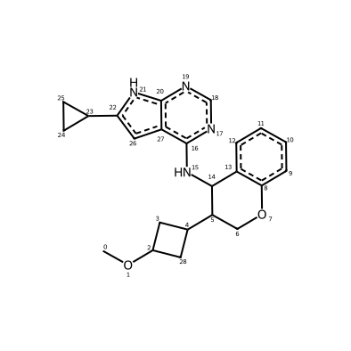 COC1CC(C2COc3ccccc3C2Nc2ncnc3[nH]c(C4CC4)cc23)C1